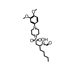 CCCCCC(CS(=O)(=O)N1CCN(c2ccc(OC)c(OC)c2)CC1)N(O)C=O